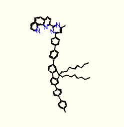 CCCCCCCCC1(CCCCCCCC)c2cc(-c3ccc(-c4ccc(C)cc4)cc3)ccc2-c2ccc(-c3ccc(-c4ccc(-c5cc(C)nc(-c6ccc7ccc8cccnc8c7n6)n5)cc4)cc3)cc21